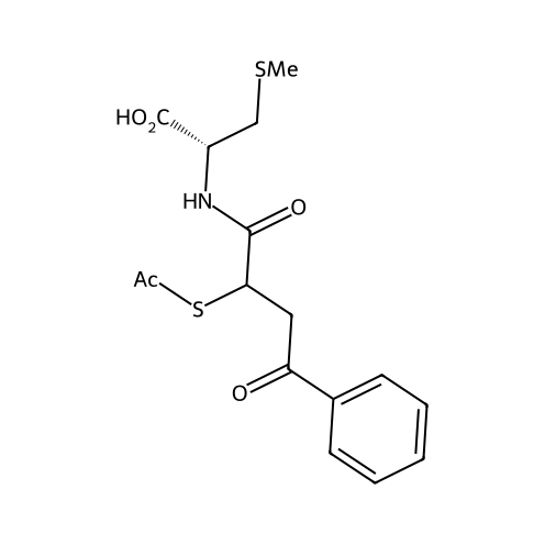 CSC[C@H](NC(=O)C(CC(=O)c1ccccc1)SC(C)=O)C(=O)O